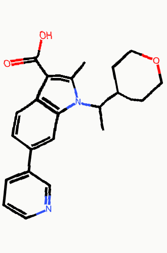 Cc1c(C(=O)O)c2ccc(-c3cccnc3)cc2n1C(C)C1CCOCC1